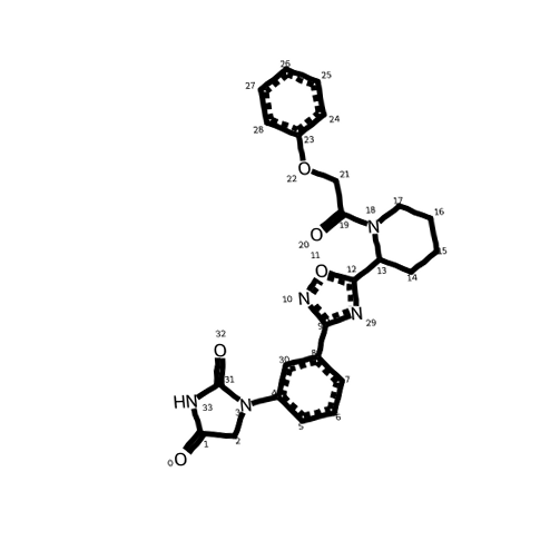 O=C1CN(c2cccc(-c3noc(C4CCCCN4C(=O)COc4ccccc4)n3)c2)C(=O)N1